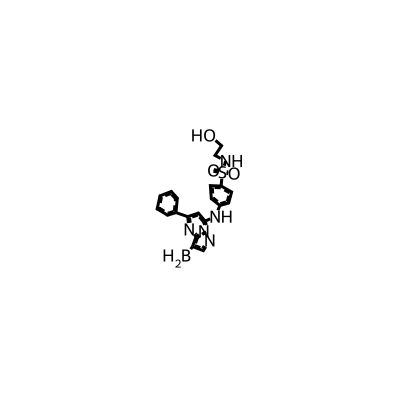 Bc1cnn2c(Nc3ccc(S(=O)(=O)NCCO)cc3)cc(-c3ccccc3)nc12